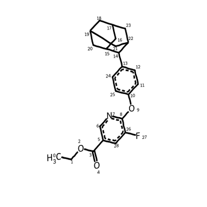 CCOC(=O)c1cnc(Oc2ccc(C3C4CC5CC(C4)CC3C5)cc2)c(F)c1